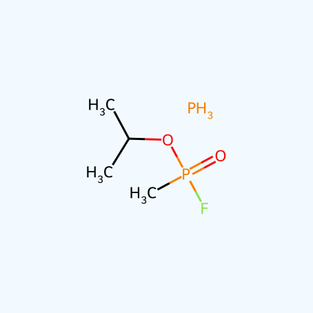 CC(C)OP(C)(=O)F.P